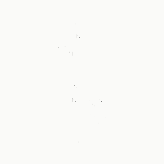 CCc1ccnc(C(=O)N2CCC(Oc3ncnc4c3cnn4-c3ccc(S(C)(=O)=O)cc3F)CC2)c1